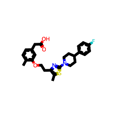 Cc1ccc(CC(=O)O)cc1OCCc1nc(N2CCC(c3ccc(F)cc3)CC2)sc1C